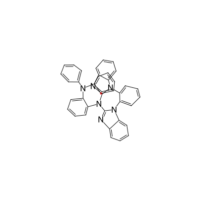 c1ccc(N(c2ccccc2)c2ccccc2-n2c3nc4ccccc4n3c3ccccc3n3c4ccccc4nc23)cc1